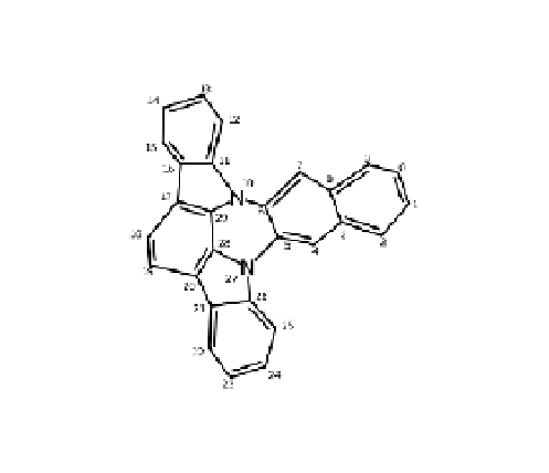 c1ccc2cc3c(cc2c1)n1c2ccccc2c2ccc4c5ccccc5n3c4c21